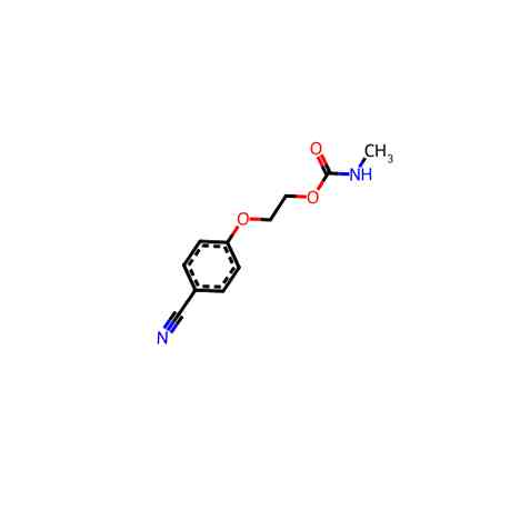 CNC(=O)OCCOc1ccc(C#N)cc1